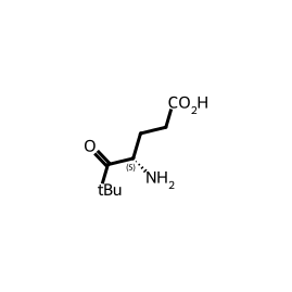 CC(C)(C)C(=O)[C@@H](N)CCC(=O)O